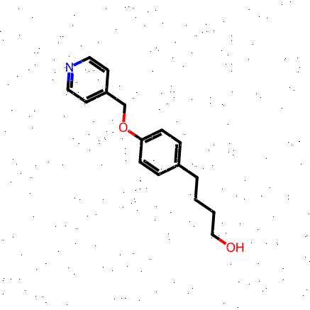 OCCCCc1ccc(OCc2ccncc2)cc1